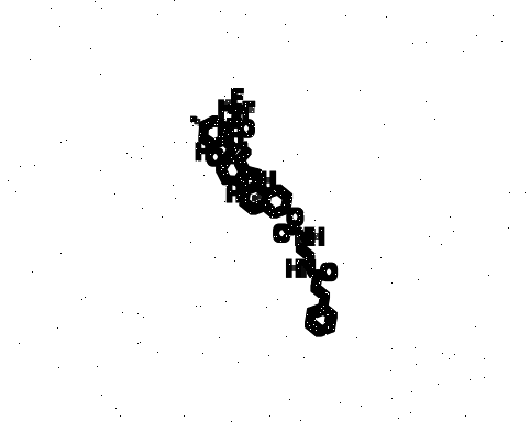 CC1=C2C[C@H]3[C@@H](CC=C4C[C@@H](OC(=O)NCCNC(=O)CCc5ccccc5)CC[C@@]43C)[C@@H]2CCC12O[C@@H]1C[C@H](C)CN(C(=O)C(F)(F)F)[C@H]1[C@H]2C